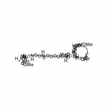 COc1cccc2cc(-c3nc(C4CCC(CNCCOCCOCCNC(=O)CCOCCOCCOCCOCCOCCNC(=O)O[C@@H]5CC[C@@H](C[C@@H](N)[C@@H]6CC(=O)[C@H](C)/C=C(\C)[C@@H](O)[C@@H](O)C(=O)[C@H](C)C[C@H](C)/C=C/C=C/C=C(\C)[C@@H](OC)C[C@@H]7CC[C@@H](C)[C@@](O)(O7)C(=O)C(=O)N7CCCC[C@H]7C(=O)O6)C[C@H]5OC)CC4)n4ncnc(N)c34)[nH]c12